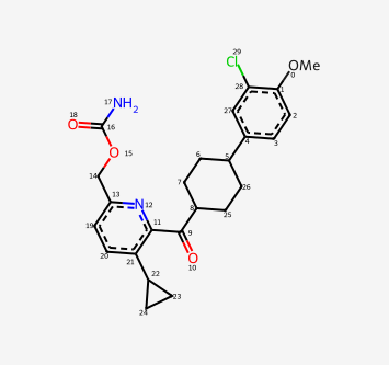 COc1ccc(C2CCC(C(=O)c3nc(COC(N)=O)ccc3C3CC3)CC2)cc1Cl